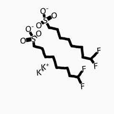 O=S(=O)([O-])CCCCCCCC(F)F.O=S(=O)([O-])CCCCCCCC(F)F.[K+].[K+]